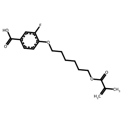 C=C(C)C(=O)OCCCCCCOc1ccc(C(=O)O)cc1F